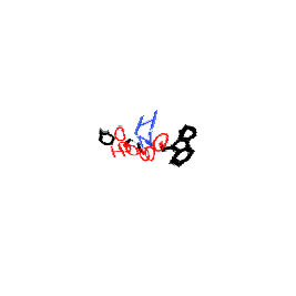 O=C(C[C@H](NC(=O)OCC1c2ccccc2-c2ccccc21)C(=O)O)OC1CCCCC1